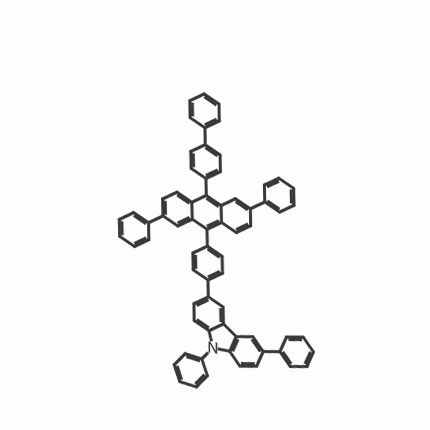 c1ccc(-c2ccc(-c3c4ccc(-c5ccccc5)cc4c(-c4ccc(-c5ccc6c(c5)c5cc(-c7ccccc7)ccc5n6-c5ccccc5)cc4)c4ccc(-c5ccccc5)cc34)cc2)cc1